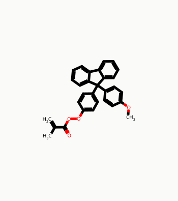 C=C(C)C(=O)OOc1ccc(C2(c3ccc(OC)cc3)c3ccccc3-c3ccccc32)cc1